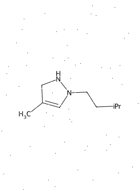 CC1=CN(CCC(C)C)NC1